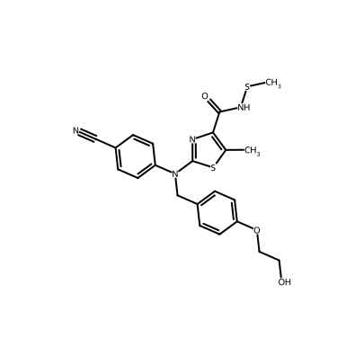 CSNC(=O)c1nc(N(Cc2ccc(OCCO)cc2)c2ccc(C#N)cc2)sc1C